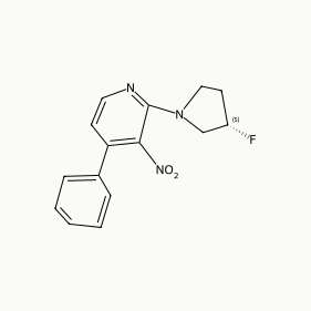 O=[N+]([O-])c1c(-c2ccccc2)ccnc1N1CC[C@H](F)C1